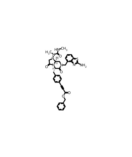 CNC(=O)N(C)N1CC(=O)N2[C@@H](Cc3ccc(C#CC(=O)OCc4ccccc4)cc3)C(=O)N(Cc3cccc4sc(N)nc34)C[C@@H]21